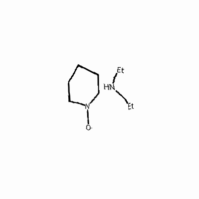 CCNCC.[O]N1CCCCC1